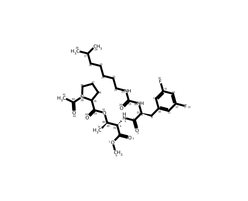 COC(=O)[C@@H](NC(=O)[C@H](Cc1cc(F)cc(F)c1)NC(=O)NCCCCCC(C)C)[C@@H](C)OC(=O)C1CCCN1C(C)=O